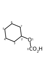 O=C(O)OC1CCCCC1